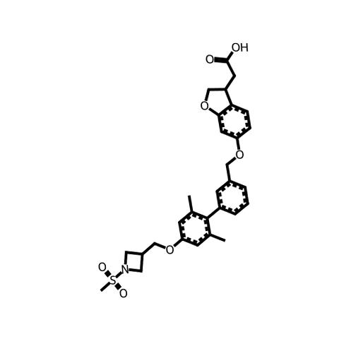 Cc1cc(OCC2CN(S(C)(=O)=O)C2)cc(C)c1-c1cccc(COc2ccc3c(c2)OCC3CC(=O)O)c1